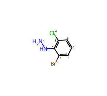 NNc1c(Cl)cccc1Br